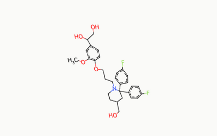 COc1cc(C(O)CO)ccc1OCCCN1CCC(CO)CC1(c1ccc(F)cc1)c1ccc(F)cc1